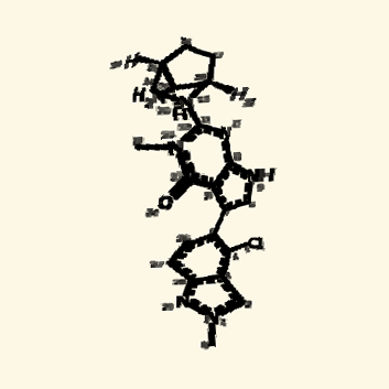 Cn1cc2c(Cl)c(-c3c[nH]c4nc(N5C[C@@H]6CC[C@H]5[C@H]6N)n(C)c(=O)c34)ccc2n1